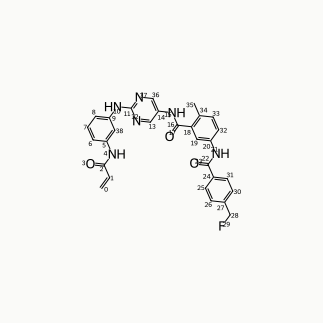 C=CC(=O)Nc1cccc(Nc2ncc(NC(=O)c3cc(NC(=O)c4ccc(CF)cc4)ccc3C)cn2)c1